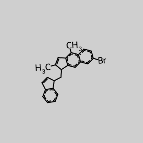 CC1=Cc2c(cc3cc(Br)ccc3c2C)C1CC1C=Cc2ccccc21